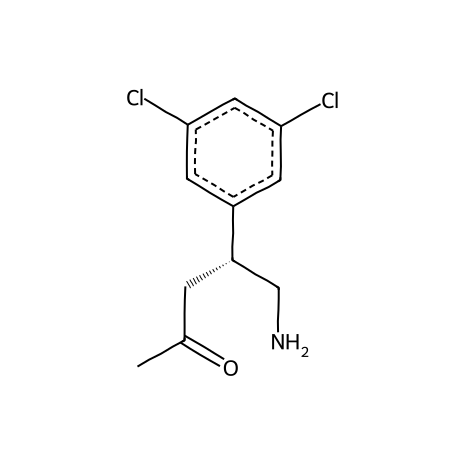 CC(=O)C[C@@H](CN)c1cc(Cl)cc(Cl)c1